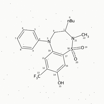 CCCCC1CN(c2ccccc2)c2cc(C(F)(F)F)c(O)cc2S(=O)(=O)N1C